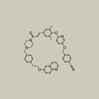 Cc1cc(C=CC(=O)N2CCN(Cc3ccc(CCOc4ccc5ncccc5c4)cc3)CC2)cc(C)c1Oc1ccc(OCc2ccc(C#N)cc2)cn1